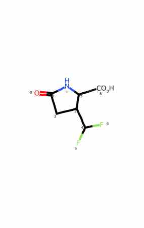 O=C1CC(C(F)F)C(C(=O)O)N1